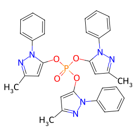 Cc1cc(OP(=O)(Oc2cc(C)nn2-c2ccccc2)Oc2cc(C)nn2-c2ccccc2)n(-c2ccccc2)n1